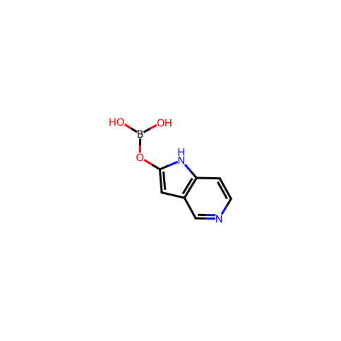 OB(O)Oc1cc2cnccc2[nH]1